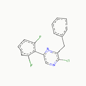 Fc1cccc(F)c1-c1cnc(Cl)c(Cc2ccccc2)n1